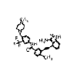 Cc1ccc(C(=O)Nc2ccc(CN3CCN(C)CC3)c(C(F)(F)F)c2)cc1C#Cc1cccc2[nH]nc(N)c12